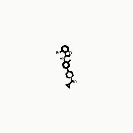 Cc1cc(C2CCN(C(=O)C3CC3)CC2)ccc1NC1COc2cccc(Br)c21